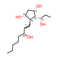 CCCCC[C@H](O)/C=C/[C@@H]1[C@@H]([C@@H](O)CC)[C@@H](O)C[C@H]1O